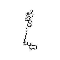 O=C1CCC(N2Cc3ccc(CCCCCCCn4cc(-c5cnc6ccccc6n5)cn4)cc3C2=O)C(=O)N1